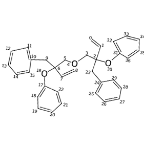 C=CC(COCC(C=C)(Cc1ccccc1)Oc1ccccc1)(Cc1ccccc1)Oc1ccccc1